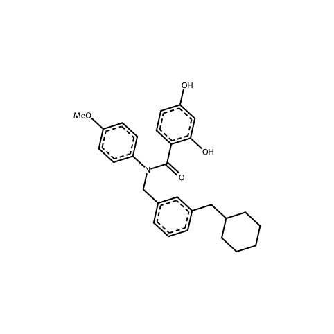 COc1ccc(N(Cc2cccc(CC3CCCCC3)c2)C(=O)c2ccc(O)cc2O)cc1